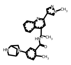 Cc1ccc(N2CC3CC2CN3)cc1C(=O)N[C@H](C)c1cc(-c2cnn(C)c2)nc2ccccc12